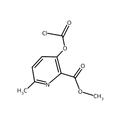 COC(=O)c1nc(C)ccc1OC(=O)Cl